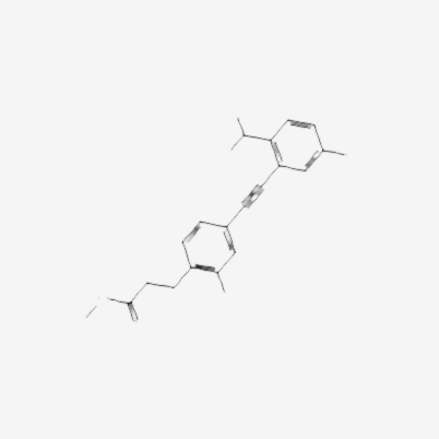 COC(=O)CCc1ccc(C#Cc2cc(F)ccc2C(F)F)cc1F